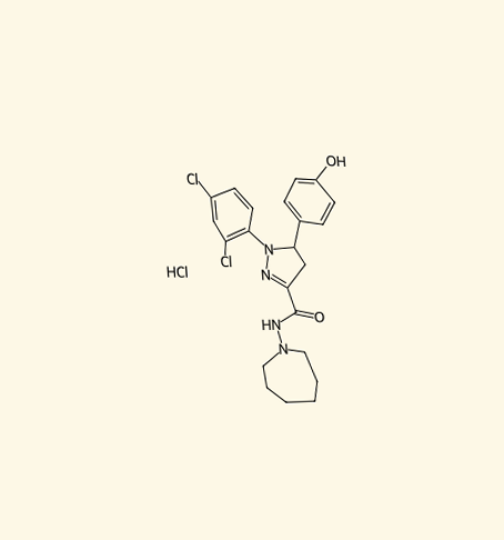 Cl.O=C(NN1CCCCCC1)C1=NN(c2ccc(Cl)cc2Cl)C(c2ccc(O)cc2)C1